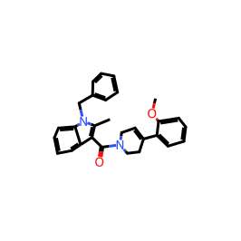 COc1ccccc1C1=CCN(C(=O)c2c(C)n(Cc3ccccc3)c3ccccc23)CC1